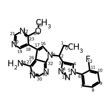 CCC(c1cn(-c2ccccc2F)nn1)n1cc(-c2cncnc2OC)c2c(N)ncnc21